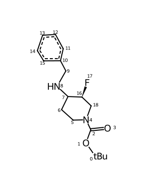 CC(C)(C)OC(=O)N1CCC(NCc2ccccc2)[C@@H](F)C1